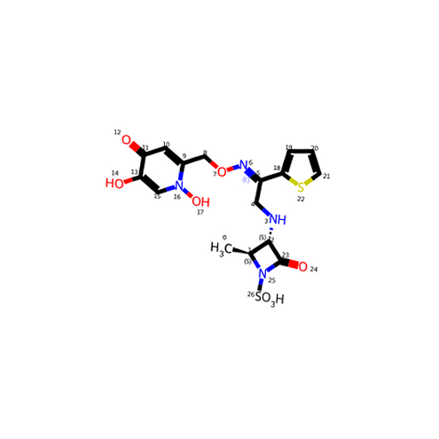 C[C@H]1[C@H](NC/C(=N\OCc2cc(=O)c(O)cn2O)c2cccs2)C(=O)N1S(=O)(=O)O